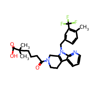 Cc1ccc(Cn2c3c(c4cccnc42)CCN(C(=O)CCCC(C)(C)C(=O)O)C3)cc1C(F)(F)F